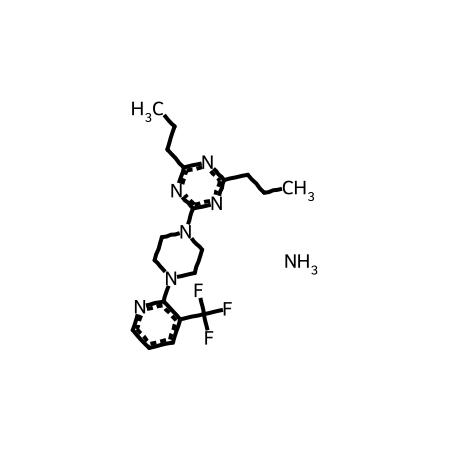 CCCc1nc(CCC)nc(N2CCN(c3ncccc3C(F)(F)F)CC2)n1.N